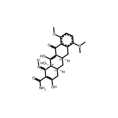 [H]/N=C1/C(C(N)=O)=C(O)C[C@@H]2C[C@@H]3Cc4c(N(C)C)ccc(OC)c4C(=O)C3=C(O)[C@]12O